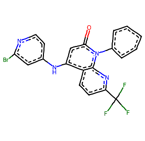 O=c1cc(Nc2ccnc(Br)c2)c2ccc(C(F)(F)F)nc2n1-c1ccccc1